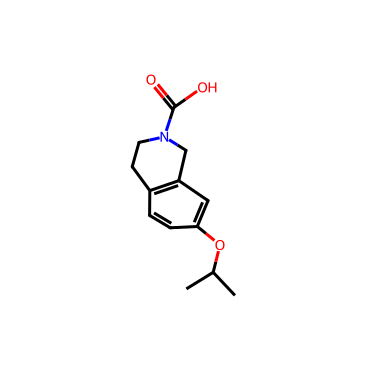 CC(C)Oc1ccc2c(c1)CN(C(=O)O)CC2